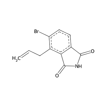 C=CCc1c(Br)ccc2c1C(=O)NC2=O